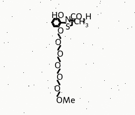 COCCOCCOCCOCCOCCOCCOc1cccc(O)c1C1=N[C@@](C)(C(=O)O)CS1